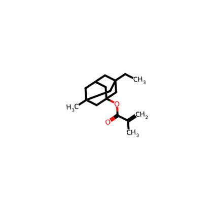 C=C(C)C(=O)OC12CC3CC(C)(CC(CC)(C3)C1)C2